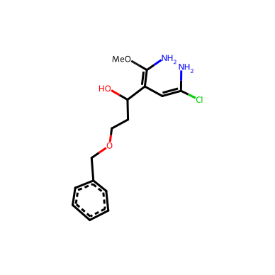 CO/C(N)=C(/C=C(\N)Cl)C(O)CCOCc1ccccc1